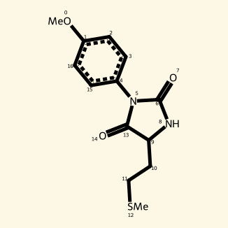 COc1ccc(N2C(=O)NC(CCSC)C2=O)cc1